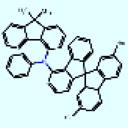 CC(C)(C)C1=CC2C(C=C1)c1ccc(C(C)(C)C)cc1C21c2ccccc2-c2c(N(c3ccccc3)c3cccc4c3-c3ccccc3C4(C)C)cccc21